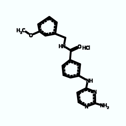 COc1cccc(CNC(=O)c2cccc(Nc3ccnc(N)n3)c2)c1.Cl